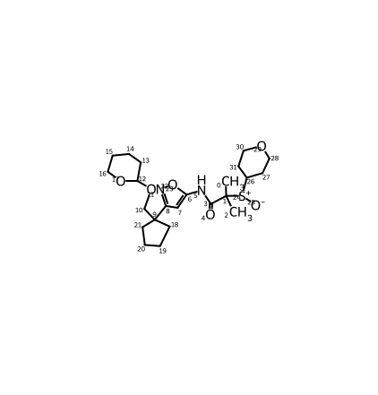 CC(C)(C(=O)Nc1cc(C2(COC3CCCCO3)CCCC2)no1)[S+]([O-])C1CCOCC1